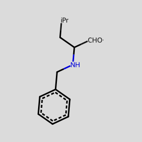 CC(C)CC([C]=O)NCc1ccccc1